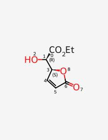 CCOC(=O)[C@H](O)[C@@H]1C=CC(=O)O1